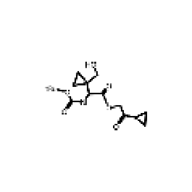 CC(C)(C)OC(=O)NC(C(=O)OCC(=O)C1CC1)C1(CO)CC1